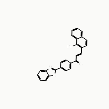 O=C(C=Cc1ccc2ccccc2c1Br)c1ccc(-c2nc3ccccc3s2)cc1